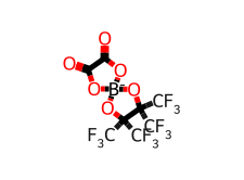 O=C1O[B-]2(OC1=O)OC(C(F)(F)F)(C(F)(F)F)C(C(F)(F)F)(C(F)(F)F)O2